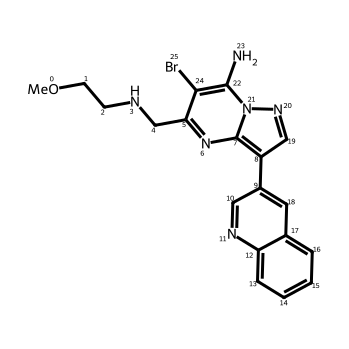 COCCNCc1nc2c(-c3cnc4ccccc4c3)cnn2c(N)c1Br